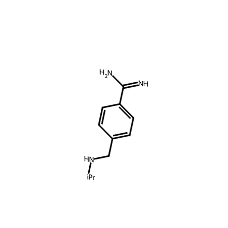 CC(C)NCc1ccc(C(=N)N)cc1